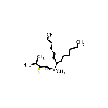 CCCCCCC(CCCCCC)[C@H](C)/C=C/C(=S)C(C)C